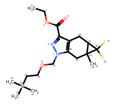 CCOC(=O)c1nn(COCC[Si](C)(C)C)c2c1CC1C(F)(F)C1(C)C2